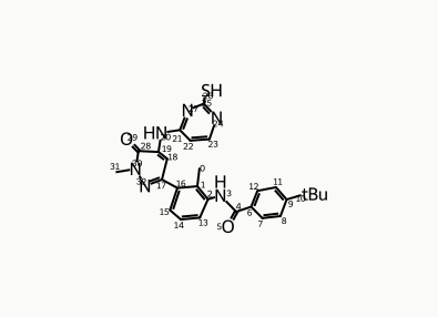 Cc1c(NC(=O)c2ccc(C(C)(C)C)cc2)cccc1-c1cc(Nc2ccnc(S)n2)c(=O)n(C)n1